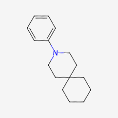 c1ccc(N2CCC3(CCCCC3)CC2)cc1